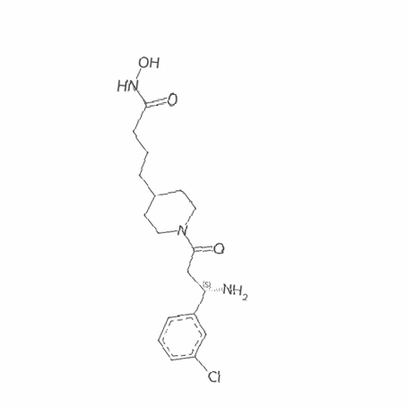 N[C@@H](CC(=O)N1CCC(CCCC(=O)NO)CC1)c1cccc(Cl)c1